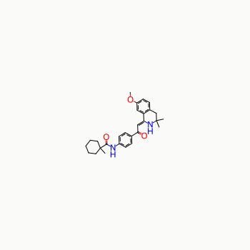 COc1ccc2c(c1)/C(=C/C(=O)c1ccc(NC(=O)C3(C)CCCCC3)cc1)NC(C)(C)C2